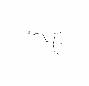 CO[Si](C)(CCC#N)OC